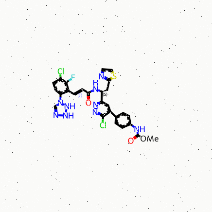 COC(=O)Nc1ccc(-c2cc([C@H](Cc3nccs3)NC(=O)/C=C/c3c(N4C=NNN4)ccc(Cl)c3F)nnc2Cl)cc1